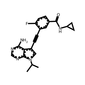 CC(C)n1cc(C#Cc2cc(C(=O)NC3CC3)ccc2F)c2c(N)ncnc21